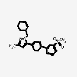 CS(=O)(=O)c1cccc(C2=CC=C(c3cc(C(F)(F)F)nn3CC3C=CCCC3)CC2)c1